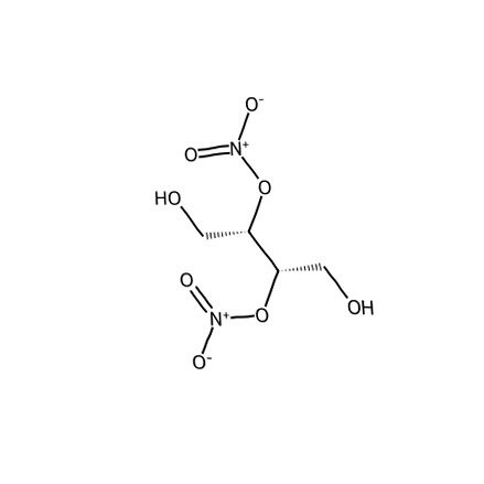 O=[N+]([O-])O[C@@H](CO)[C@H](CO)O[N+](=O)[O-]